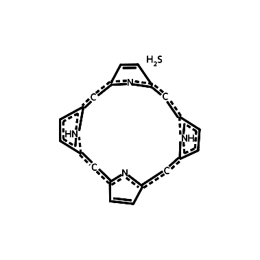 C1=Cc2cc3ccc(cc4nc(cc5ccc(cc1n2)[nH]5)C=C4)[nH]3.S